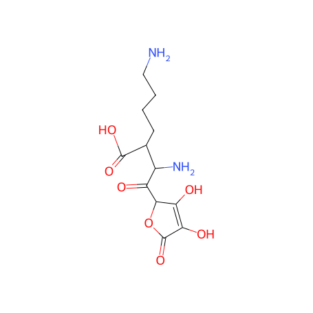 NCCCCC(C(=O)O)C(N)C(=O)C1OC(=O)C(O)=C1O